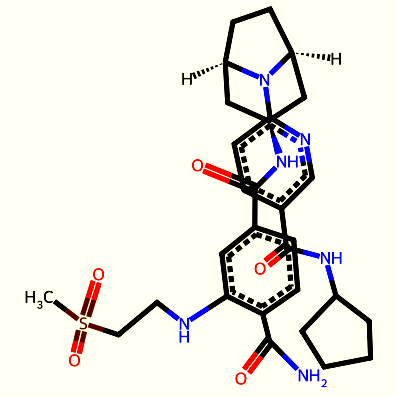 CS(=O)(=O)CCNc1cc(C(=O)N[C@H]2C[C@H]3CC[C@@H](C2)N3c2ccc(C(=O)NC3CCCC3)cn2)ccc1C(N)=O